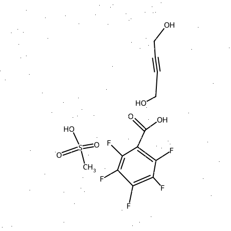 CS(=O)(=O)O.O=C(O)c1c(F)c(F)c(F)c(F)c1F.OCC#CCO